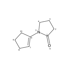 O=C1CCCN1C1=CCCC1